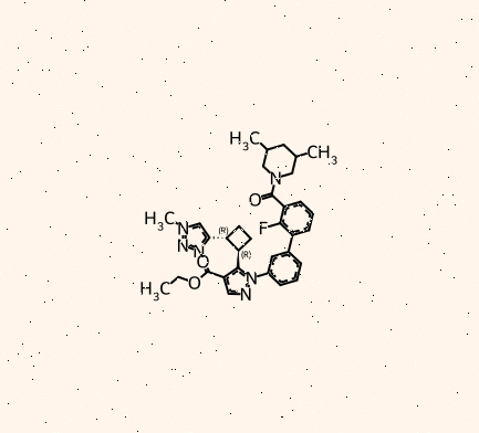 CCOC(=O)c1cnn(-c2cccc(-c3cccc(C(=O)N4CC(C)CC(C)C4)c3F)c2)c1[C@@H]1CC[C@H]1c1cn(C)nn1